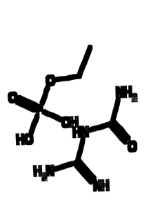 CCOP(=O)(O)O.N=C(N)NC(N)=O